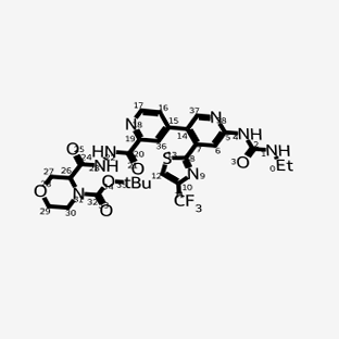 CCNC(=O)Nc1cc(-c2nc(C(F)(F)F)cs2)c(-c2ccnc(C(=O)NNC(=O)C3COCCN3C(=O)OC(C)(C)C)c2)cn1